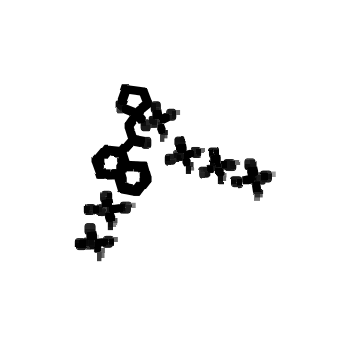 O=C(CC1([O][Sb](=[O])([O-])[F])CCCS1)c1cccc2ccccc12.[O]=[Sb]([O-])([O-])[F].[O]=[Sb]([O-])([O-])[F].[O]=[Sb]([O-])([O-])[F].[O]=[Sb]([O-])([O-])[F].[O]=[Sb]([O-])([O-])[F]